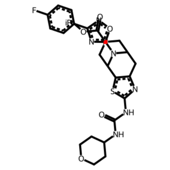 CC(C)OC(=O)N1CC2Cc3nc(NC(=O)NC4CCOCC4)sc3C(C1)N2c1nc(-c2ccc(F)cc2)no1